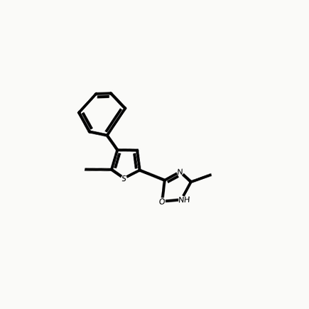 Cc1sc(C2=NC(C)NO2)cc1-c1ccccc1